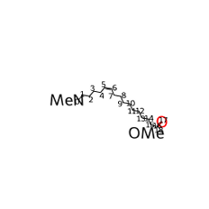 CNCCCC/C=C\CCCCCCCCCC(=O)OC